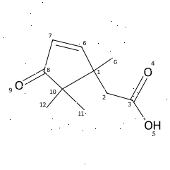 CC1(CC(=O)O)C=CC(=O)C1(C)C